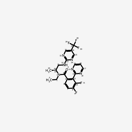 CCN(C(=O)c1ccc(F)c(F)c1-c1ncccn1)[C@@H](C)CNc1ncc(C(F)(F)F)cn1